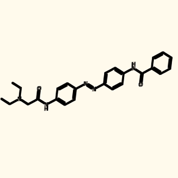 CCN(CC)CC(=O)Nc1ccc(/N=N/c2ccc(NC(=O)c3ccccc3)cc2)cc1